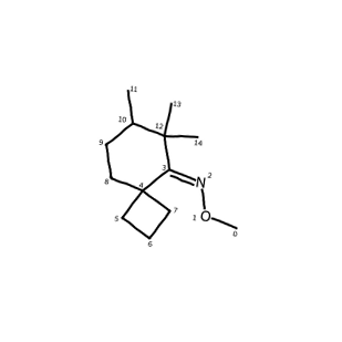 CO/N=C1\C2(CCC2)CCC(C)C1(C)C